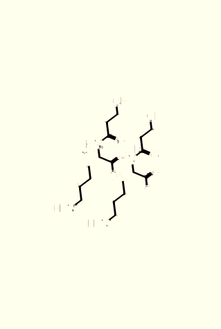 CCCC(=O)N[C@@H](CCCCN)C(=O)[O-].CCCC(=O)N[C@@H](CCCCN)C(=O)[O-].[Zn+2]